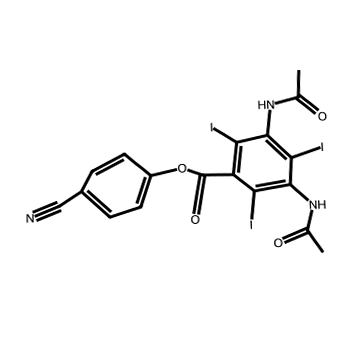 CC(=O)Nc1c(I)c(NC(C)=O)c(I)c(C(=O)Oc2ccc(C#N)cc2)c1I